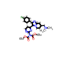 CN(C)Cc1ccn2c(-c3ccnc(N(C(=O)OC(C)(C)C)C(=O)OC(C)(C)C)n3)c(-c3ccc(F)cc3)nc2c1